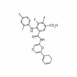 Cc1cc(I)ccc1Nc1c(C(=O)NC2=COC=C(C3=CC=CCC3)O2)cc(C(=O)O)c(F)c1F